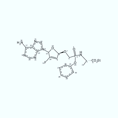 CCOC(=O)[C@H](C)NP(=O)(CO[C@H]1C=C(F)C(n2cnc3c(N)ncnc32)O1)Oc1ccccc1